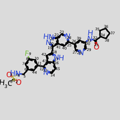 CS(=O)(=O)NCc1cc(F)cc(-c2nccc3[nH]c(-c4n[nH]c5cnc(-c6cncc(NC(=O)C7CCCC7)c6)cc45)cc23)c1